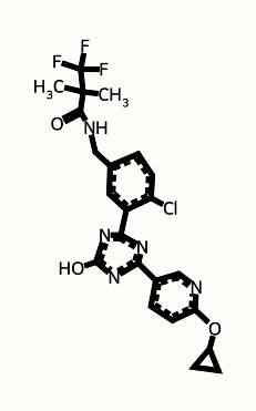 CC(C)(C(=O)NCc1ccc(Cl)c(-c2nc(O)nc(-c3ccc(OC4CC4)nc3)n2)c1)C(F)(F)F